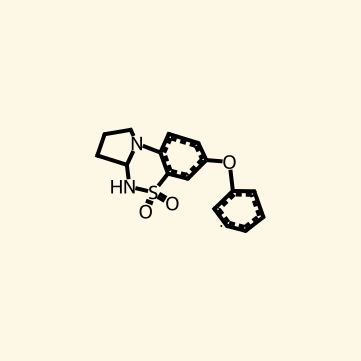 O=S1(=O)NC2CCCN2c2ccc(Oc3c[c]ccc3)cc21